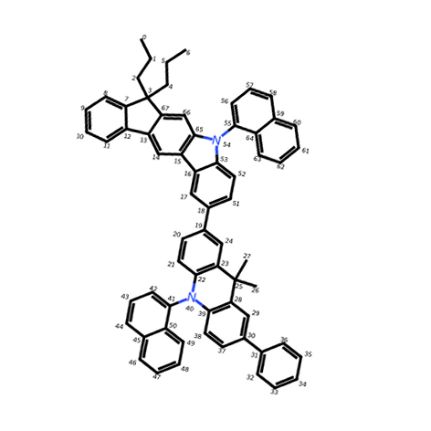 CCCC1(CCC)c2ccccc2-c2cc3c4cc(-c5ccc6c(c5)C(C)(C)c5cc(-c7ccccc7)ccc5N6c5cccc6ccccc56)ccc4n(-c4cccc5ccccc45)c3cc21